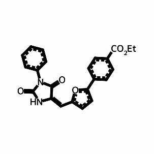 CCOC(=O)c1ccc(-c2ccc(C=C3NC(=O)N(c4ccccc4)C3=O)o2)cc1